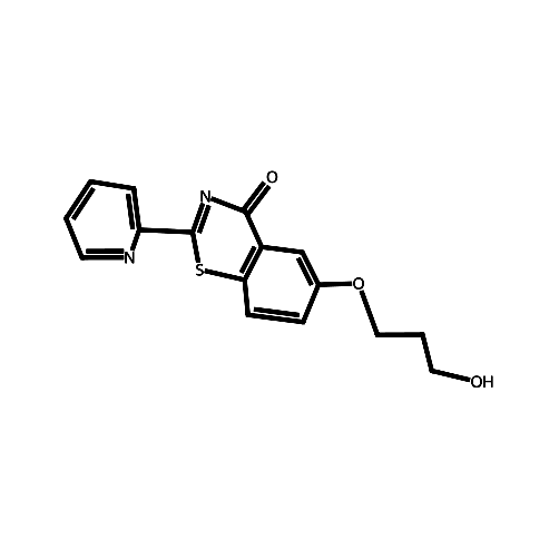 O=c1nc(-c2ccccn2)sc2ccc(OCCCO)cc12